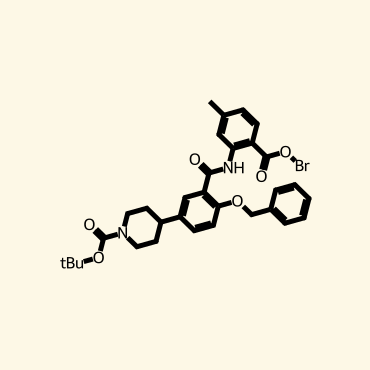 Cc1ccc(C(=O)OBr)c(NC(=O)c2cc(C3CCN(C(=O)OC(C)(C)C)CC3)ccc2OCc2ccccc2)c1